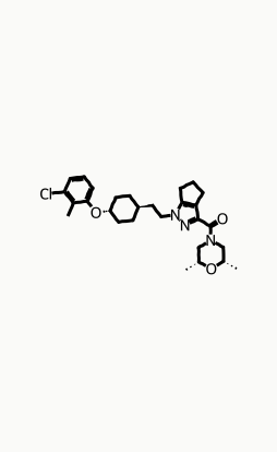 Cc1c(Cl)cccc1O[C@H]1CC[C@H](CCn2nc(C(=O)N3C[C@@H](C)O[C@@H](C)C3)c3c2CCC3)CC1